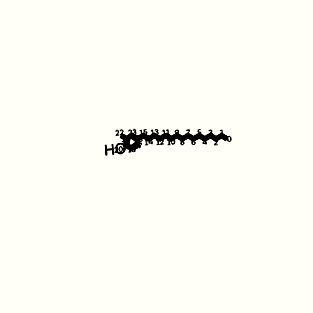 CCCCCCCCCCCCCCCCc1ccc(O)c(C)c1